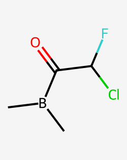 CB(C)C(=O)C(F)Cl